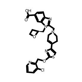 O=C(O)c1ccc2nc(CN3CC=C(c4csc(OCc5ncccc5Cl)n4)CC3)n(C[C@@H]3CCO3)c2c1